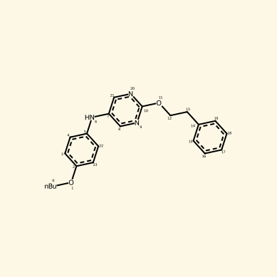 CCCCOc1ccc(Nc2cnc(OCCc3ccccc3)nc2)cc1